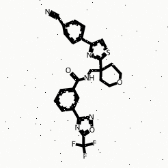 N#Cc1ccc(-c2csc(C3(CNC(=O)c4cccc(-c5noc(C(F)(F)F)n5)c4)CCOCC3)n2)cc1